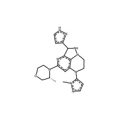 C[C@@H]1COCCN1c1cc2c3c(n1)C(c1cc[nH]n1)NN3CCN2c1ccnn1C